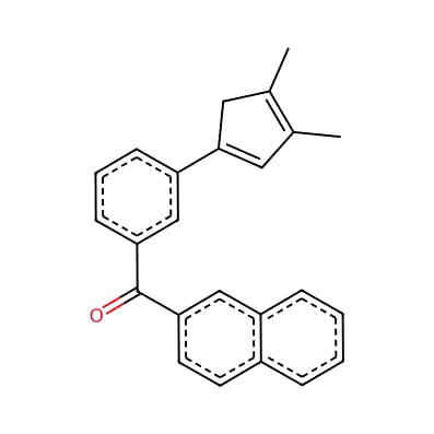 CC1=C(C)CC(c2cccc(C(=O)c3ccc4ccccc4c3)c2)=C1